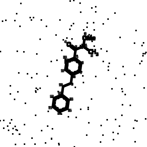 CON(C)C(=O)c1ccc(CCc2ccccc2)cn1